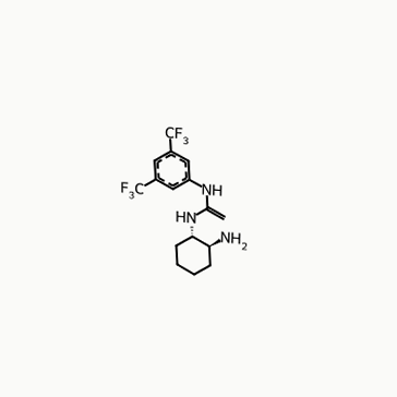 C=C(Nc1cc(C(F)(F)F)cc(C(F)(F)F)c1)N[C@H]1CCCC[C@@H]1N